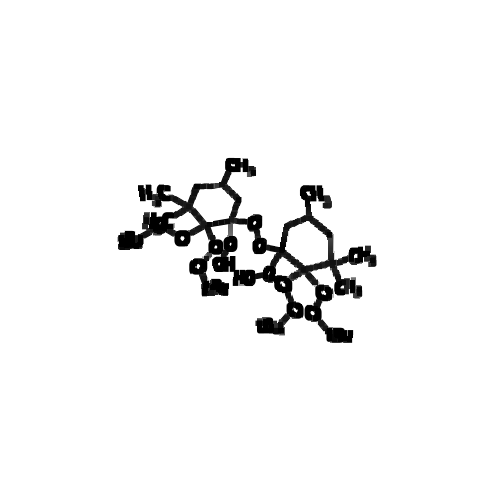 CC1CC(C)(C)C(OOC(C)(C)C)(OOC(C)(C)C)C(OO)(OOC2(OO)CC(C)CC(C)(C)C2(OOC(C)(C)C)OOC(C)(C)C)C1